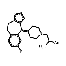 CC(=O)C(C)CN1CCC(=C2c3cc(F)ccc3CCc3sccc32)CC1